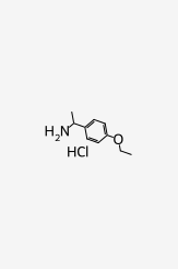 CCOc1ccc(C(C)N)cc1.Cl